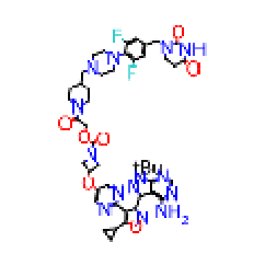 CC(C)(C)n1nc(-c2noc(C3CC3)c2-c2ncc(OC3CN(C(=O)OCC(=O)N4CCC(CN5CCN(c6c(F)cc(CN7CCC(=O)NC7=O)cc6F)CC5)CC4)C3)cn2)c2c(N)ncnc21